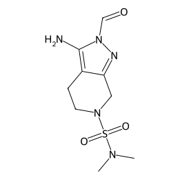 CN(C)S(=O)(=O)N1CCc2c(nn(C=O)c2N)C1